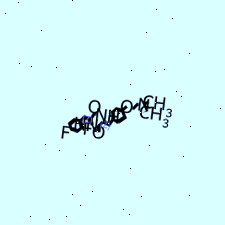 CN(C)CCOc1ccc(/C=c2\[nH]c(=O)/c(=C/c3ccc(F)cc3F)[nH]c2=O)cc1